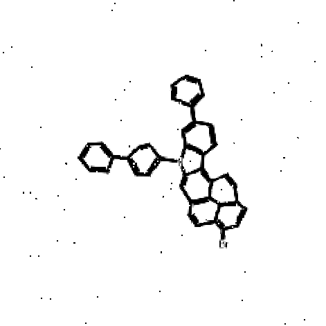 Brc1ccc2ccc3c4c(ccc1c24)cc1c3c2ccc(-c3ccccc3)cc2n1-c1ccc(-c2ccccc2)cc1